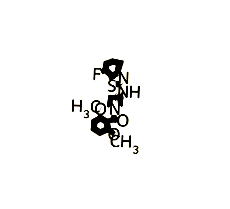 COc1cccc(OC)c1C(=O)N1CC[C@@H](Nc2nc3cccc(F)c3s2)C1